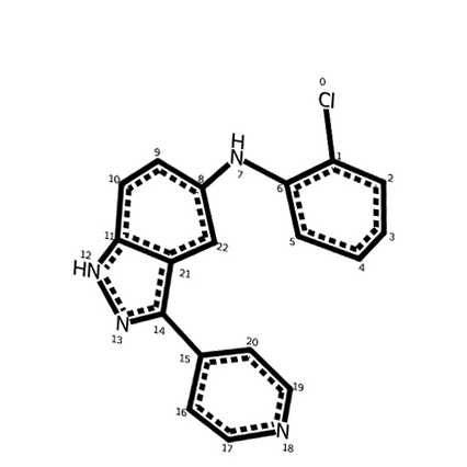 Clc1ccccc1Nc1ccc2[nH]nc(-c3ccncc3)c2c1